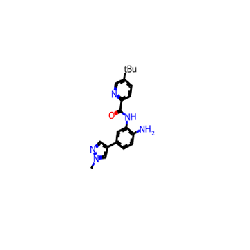 Cn1cc(-c2ccc(N)c(NC(=O)c3ccc(C(C)(C)C)cn3)c2)cn1